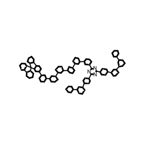 c1ccc(-c2cccc(-c3ccc(-c4nc(-c5ccc(-c6cccc(-c7cccc(-c8ccccc8)c7)c6)cc5)nc(-c5cccc(-c6cccc(-c7cccc(-c8cccc(-c9cccc(-c%10cccc(-c%11ccc%12c(c%11)C%11(c%13ccccc%13-c%13ccccc%13%11)c%11ccccc%11-%12)c%10)c9)c8)c7)c6)c5)n4)cc3)c2)cc1